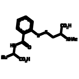 CCC(C)C(NC(=O)c1ccccc1SSCC(NC(C)=O)C(=O)O)C(=O)O